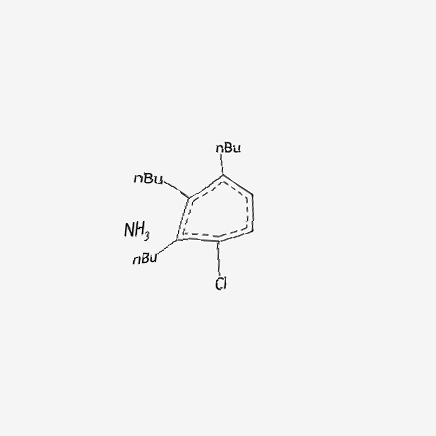 CCCCc1ccc(Cl)c(CCCC)c1CCCC.N